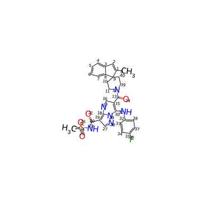 CC1=Cc2ccccc2C12CCN(C(=O)c1cnc3c(C(=O)NS(C)(=O)=O)cnn3c1Nc1ccc(F)cc1)CC2